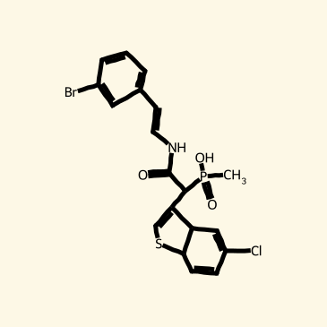 CP(=O)(O)C(C(=O)N/C=C/c1cccc(Br)c1)C1=CSC2C=CC(Cl)=CC12